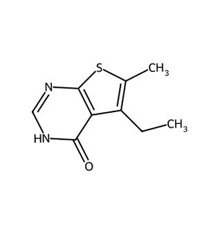 CCc1c(C)sc2nc[nH]c(=O)c12